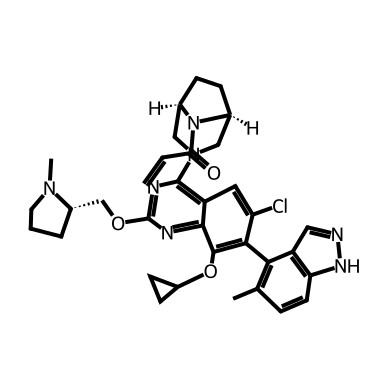 C=CC(=O)N1[C@@H]2CC[C@H]1CN(c1nc(OC[C@@H]3CCCN3C)nc3c(OC4CC4)c(-c4c(C)ccc5[nH]ncc45)c(Cl)cc13)C2